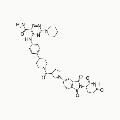 NC(=O)c1nnc(N2CCCCC2)nc1Nc1ccc(C2CCN(C(=O)C3CCN(c4ccc5c(c4)C(=O)N(C4CCC(=O)NC4=O)C5=O)C3)CC2)cc1